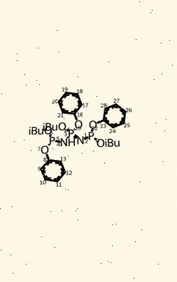 CC(C)COP(N=P(NP(OCC(C)C)Oc1ccccc1)(OCC(C)C)Oc1ccccc1)Oc1ccccc1